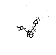 O=C(CC(=O)NC1(NC(=O)COc2ccc(Cl)c(F)c2)CCCCC1)NCc1ccc(C(F)(F)F)cn1